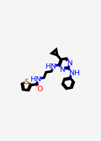 O=C(NCCCNc1nc(Nc2ccccc2)ncc1C1CC1)c1cccs1